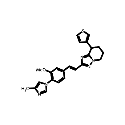 COc1cc(C=Cc2nc3n(n2)CCCC3c2ccsc2)ccc1-n1cnc(C)c1